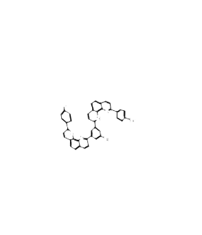 Brc1ccc(-c2ccc3ccc4ccc(-c5cc(Br)cc(-c6ccc7ccc8ccc(-c9ccc(Br)cc9)nc8c7n6)c5)nc4c3n2)cc1